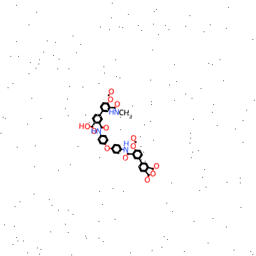 CNC(=O)c1cc(-c2ccc(C(=O)O)c(C(=O)Nc3ccc(Oc4ccc(NC(=O)c5cc(-c6ccc7c(c6)C(=O)OC7=O)ccc5OC=O)cc4)cc3)c2)ccc1OC=O